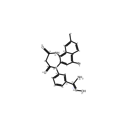 Cc1ccc2c(Br)cc3c(c2c1)NC(=O)CC(=O)N3c1cccc(/C(N)=N/O)c1